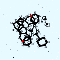 C(=C1CCCCC1P(=c1n(-c2ccccc2)nc(-c2ccccc2)n1-c1ccccc1)(C1CCCCC1)C1CCCCC1)c1cccs1.[Cl][Ru][Cl]